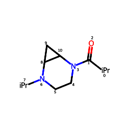 CC(C)C(=O)N1CCN(C(C)C)C2CC21